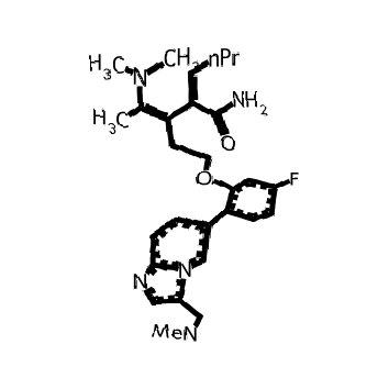 CCC/C=C(C(N)=O)/C(CCOc1cc(F)ccc1-c1ccc2ncc(CNC)n2c1)=C(/C)N(C)C